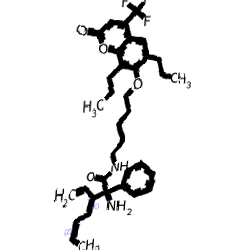 C=C/C(=C\C=C/C)C(N)(C(=O)NCCCCCOc1c(CCC)cc2c(C(F)(F)F)cc(=O)oc2c1CCC)c1ccccc1